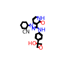 N#CC1CCCCC1n1nc(Nc2ccc(C3(O)COC3)cc2)c2c(=O)[nH]ccc21